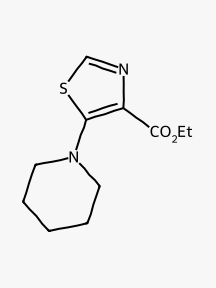 CCOC(=O)c1ncsc1N1CCCCC1